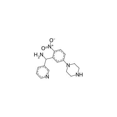 NC(c1cccnc1)c1cc(N2CCNCC2)ccc1[N+](=O)[O-]